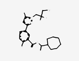 Cc1cc(-c2ccc(Cl)c(C(=O)NC(O)C3CCCCCC3)c2)nn1CC(C)(O)CN